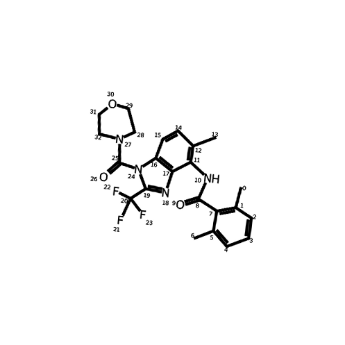 Cc1cccc(C)c1C(=O)Nc1c(C)ccc2c1nc(C(F)(F)F)n2C(=O)N1CCOCC1